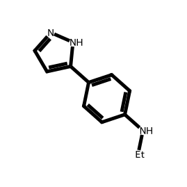 CCNc1ccc(-c2ccn[nH]2)cc1